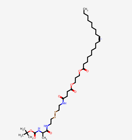 CCCCCCCC/C=C\CCCCCCCC(=O)OCCCOC(=O)CCC(=O)NCCSSCCNC(=O)C(C)NC(=O)OC(C)(C)C